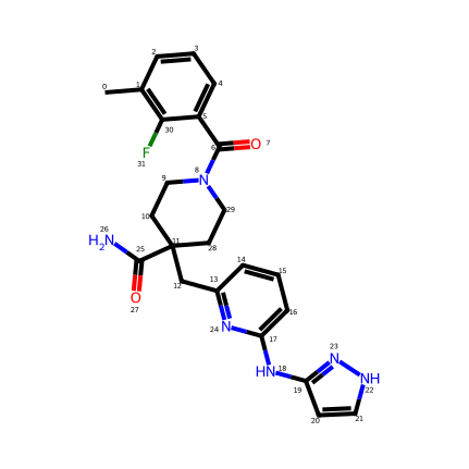 Cc1cccc(C(=O)N2CCC(Cc3cccc(Nc4cc[nH]n4)n3)(C(N)=O)CC2)c1F